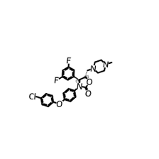 CN1CCN(C[C@@H]2OC(=O)N(c3ccc(Oc4ccc(Cl)cc4)cc3)[C@H]2c2cc(F)cc(F)c2)CC1